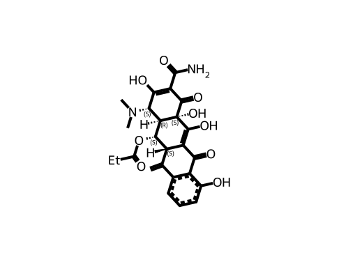 C=C1c2cccc(O)c2C(=O)C2=C(O)[C@]3(O)C(=O)C(C(N)=O)=C(O)[C@@H](N(C)C)[C@@H]3[C@@H](OC(=O)CC)[C@@H]12